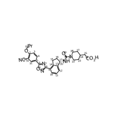 CC(C)Oc1ccc(-c2nc(-c3cccc4c3CC[C@@H]4NC(=O)N3CCC(CC(=O)O)CC3)no2)cc1C#N